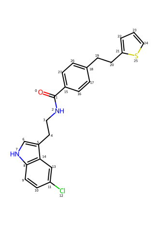 O=C(NCCc1c[nH]c2ccc(Cl)cc12)c1ccc(CCc2cccs2)cc1